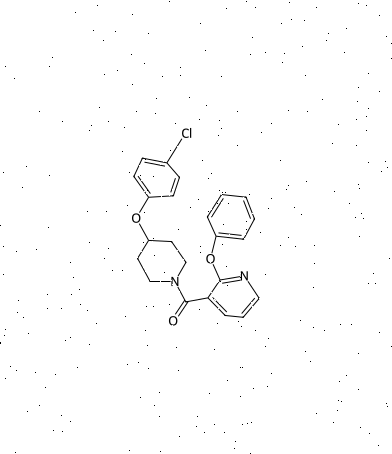 O=C(c1cccnc1Oc1ccccc1)N1CCC(Oc2ccc(Cl)cc2)CC1